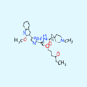 CCC(=O)CCCOC[C@H](NC(=O)[C@H]1CC12CCN(C)CC2)c1ncc(-c2cc3ccccc3nc2OC)[nH]1